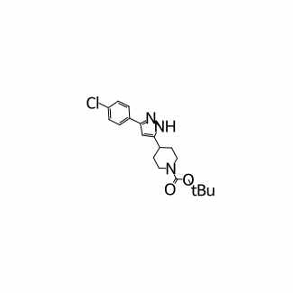 CC(C)(C)OC(=O)N1CCC(c2cc(-c3ccc(Cl)cc3)n[nH]2)CC1